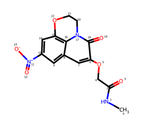 CNC(=O)COc1cc2cc([N+](=O)[O-])cc3c2n(c1=O)CCO3